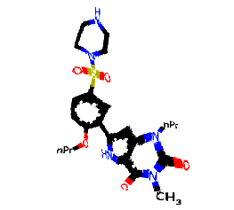 CCCOc1ccc(S(=O)(=O)N2CCNCC2)cc1-c1cc2c([nH]1)c(=O)n(C)c(=O)n2CCC